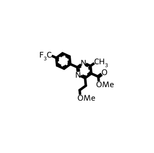 COCCc1nc(-c2ccc(C(F)(F)F)cc2)nc(C)c1C(=O)OC